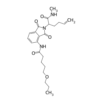 C=CCCC(C(=O)NC)N1C(=O)c2cccc(NC(=O)CCCCOCCC)c2C1=O